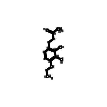 CCOc1ccc(CCC(C)=O)c(Cl)c1Cl